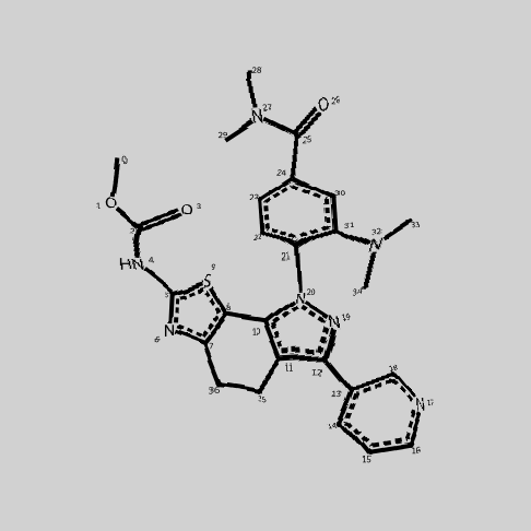 COC(=O)Nc1nc2c(s1)-c1c(c(-c3cccnc3)nn1-c1ccc(C(=O)N(C)C)cc1N(C)C)CC2